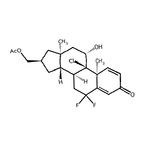 CC(=O)OC[C@@H]1C[C@H]2[C@@H]3CC(F)(F)C4=CC(=O)C=C[C@]4(C)[C@@]3(Cl)[C@@H](O)C[C@]2(C)C1